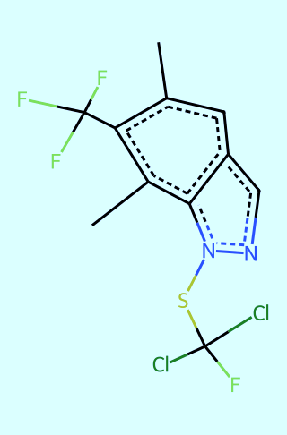 Cc1cc2cnn(SC(F)(Cl)Cl)c2c(C)c1C(F)(F)F